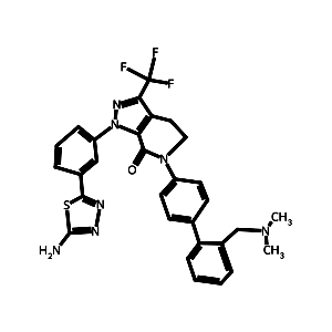 CN(C)Cc1ccccc1-c1ccc(N2CCc3c(C(F)(F)F)nn(-c4cccc(-c5nnc(N)s5)c4)c3C2=O)cc1